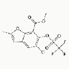 COC(=O)c1c(OS(=O)(=O)C(F)(F)F)c(Cl)cc2cc(C)oc12